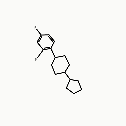 Fc1ccc(C2CCC(C3CCCC3)CC2)c(F)c1